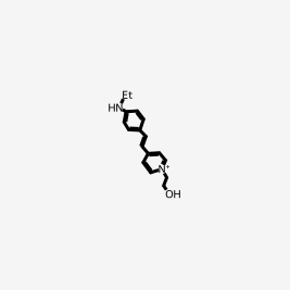 CCNc1ccc(/C=C/c2cc[n+](CCO)cc2)cc1